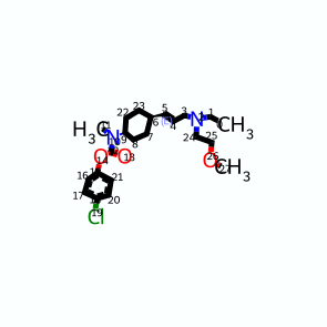 CCN(C/C=C/[C@H]1CC[C@H](N(C)C(=O)Oc2ccc(Cl)cc2)CC1)CCOC